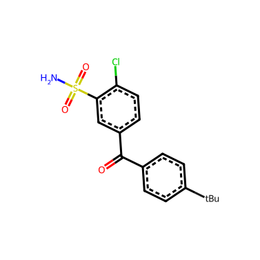 CC(C)(C)c1ccc(C(=O)c2ccc(Cl)c(S(N)(=O)=O)c2)cc1